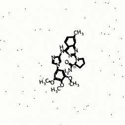 COc1cc(-n2cnc(Nc3nc(N4CCC[C@H]4C(N)=O)nc4cc(C)ccc34)c2)cc(OC)c1OC